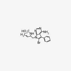 C=CC(Cn1c(Br)c(-c2ccccc2)c2c(N)ncnc21)NC(=O)O